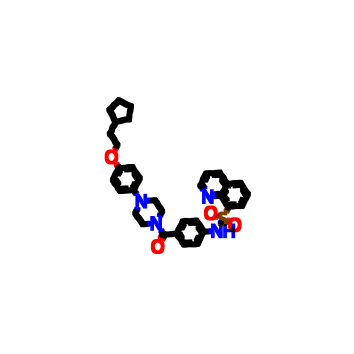 O=C(c1ccc(NS(=O)(=O)c2cccc3cccnc23)cc1)N1CCN(c2ccc(OCCC3CCCC3)cc2)CC1